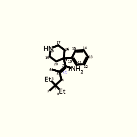 CCC(C)(CC)C/C(C)=C(\N)C1(c2ccccc2)CCNCC1